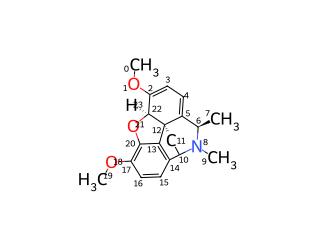 COC1=CC=C2[C@@H](C)N(C)C3C[C@@]24c2c3ccc(OC)c2O[C@@H]14